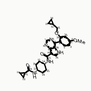 COc1ccc(-c2ncnc3c(C(=O)N[C@H]4CC[C@@H](NC(=O)C5CC5)CC4)c[nH]c23)c(OCC2CC2)c1